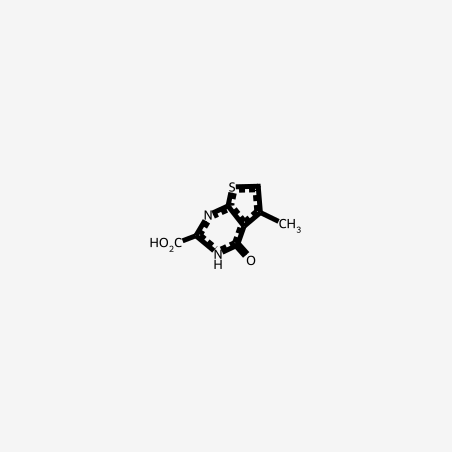 Cc1csc2nc(C(=O)O)[nH]c(=O)c12